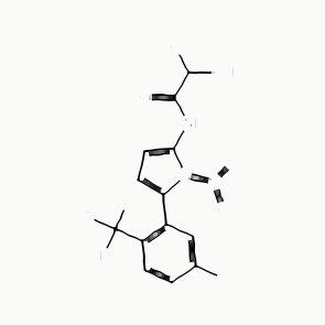 CC(O)C(=O)NC1=CC=C(c2cc(F)ccc2C(F)(F)F)S1=S(=O)=O